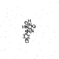 O=c1[nH]c(=O)c2ncn(Sc3ccc(Cl)cc3)c2[nH]1